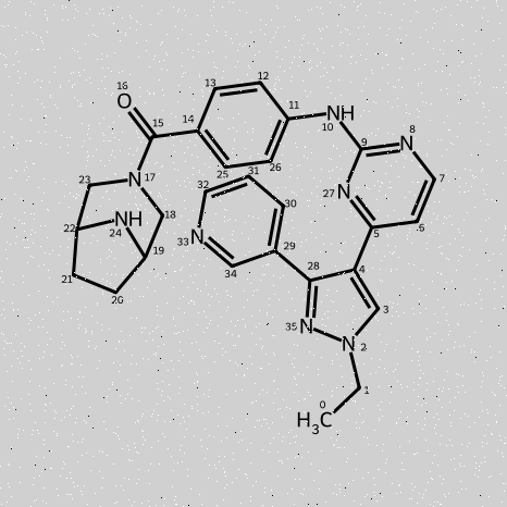 CCn1cc(-c2ccnc(Nc3ccc(C(=O)N4CC5CCC(C4)N5)cc3)n2)c(-c2cccnc2)n1